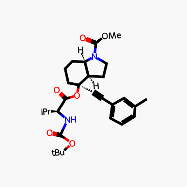 COC(=O)N1CC[C@@H]2[C@H]1CCC[C@]2(C#Cc1cccc(C)c1)OC(=O)[C@@H](NC(=O)OC(C)(C)C)C(C)C